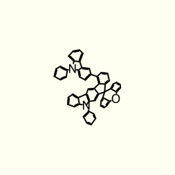 c1ccc(-n2c3ccccc3c3cc(-c4cccc5c4-c4cc6c7ccccc7n(-c7ccccc7)c6cc4C54c5ccccc5Oc5ccccc54)ccc32)cc1